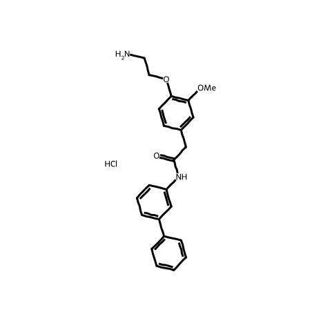 COc1cc(CC(=O)Nc2cccc(-c3ccccc3)c2)ccc1OCCN.Cl